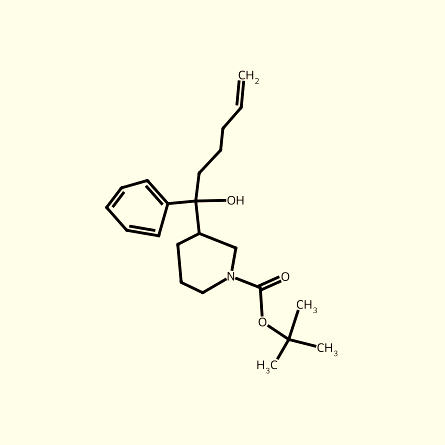 C=CCCCC(O)(c1ccccc1)C1CCCN(C(=O)OC(C)(C)C)C1